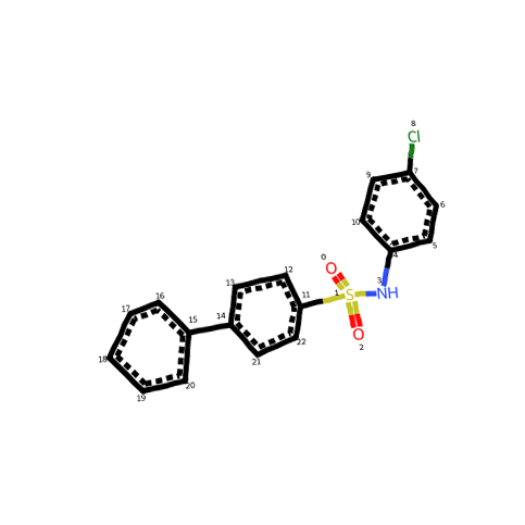 O=S(=O)(Nc1ccc(Cl)cc1)c1ccc(-c2ccccc2)cc1